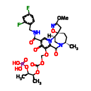 COC1=NO[C@@]2(CC[C@H](C)N3C[C@H]2n2cc(C(=O)NCc4ccc(F)cc4F)c(=O)c(OCOC(=O)O[C@@H](C)[C@@H](C)OP(=O)(O)O)c2C3=O)C1